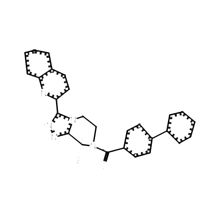 C[C@@H]1c2nnc(-c3ccc4ccccc4n3)n2CCN1C(=O)c1ccc(-c2ccccc2)cc1